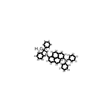 CC1(c2ccccc2)CN(c2ccc3ccc4c(N(c5ccccc5)c5ccccc5)ccc5ccc2c3c54)c2ccccc21